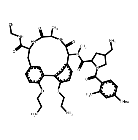 CCCCCCc1ccc(C(=O)N2CC(CN)CC2C(=O)N(C)C2C(=O)NC(C)C(=O)NC(C(=O)NCC#N)Cc3ccc(OCCN)c(c3)-c3cc2ccc3OCCN)c(C)c1